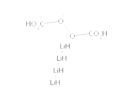 O=C(O)OOC(=O)O.[LiH].[LiH].[LiH].[LiH]